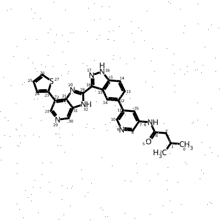 CC(C)CC(=O)Nc1cncc(-c2ccc3[nH]nc(-c4nc5c(-c6cccs6)cncc5[nH]4)c3c2)c1